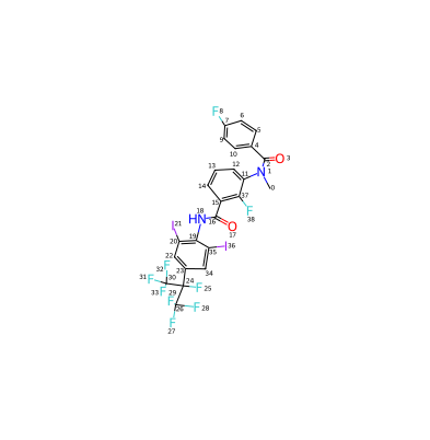 CN(C(=O)c1ccc(F)cc1)c1cccc(C(=O)Nc2c(I)cc(C(F)(C(F)(F)F)C(F)(F)F)cc2I)c1F